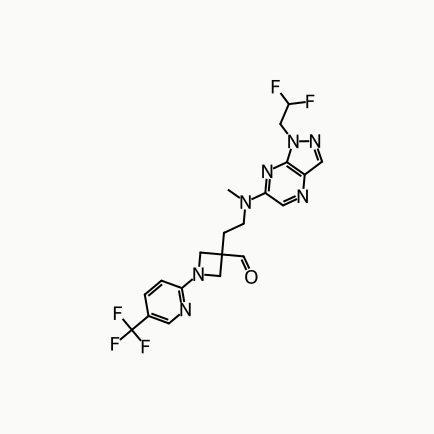 CN(CCC1(C=O)CN(c2ccc(C(F)(F)F)cn2)C1)c1cnc2cnn(CC(F)F)c2n1